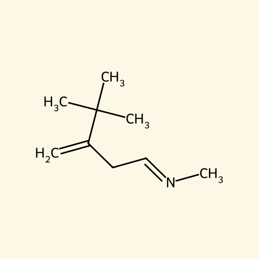 C=C(C/C=N/C)C(C)(C)C